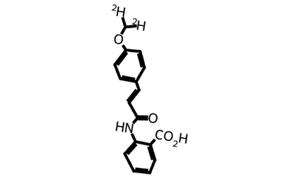 [2H]C([2H])Oc1ccc(C=CC(=O)Nc2ccccc2C(=O)O)cc1